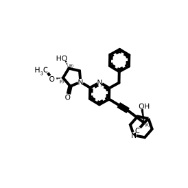 CO[C@H]1C(=O)N(c2ccc(C#C[C@@]3(O)CN4CCC3CC4)c(Cc3ccccc3)n2)C[C@H]1O